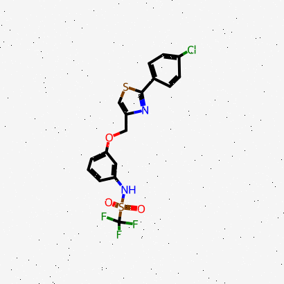 O=S(=O)(Nc1cccc(OCc2csc(-c3ccc(Cl)cc3)n2)c1)C(F)(F)F